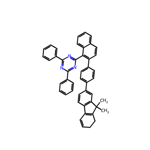 CC1(C)C2=C(C=CCC2)c2ccc(-c3ccc(-c4ccc5ccccc5c4-c4nc(-c5ccccc5)nc(-c5ccccc5)n4)cc3)cc21